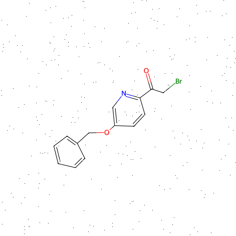 O=C(CBr)c1ccc(OCc2ccccc2)cn1